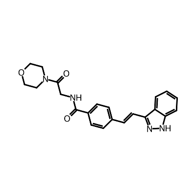 O=C(NCC(=O)N1CCOCC1)c1ccc(C=Cc2n[nH]c3ccccc23)cc1